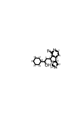 OC(CC1c2c(ccnc2F)-c2cncn21)C1CCCCC1